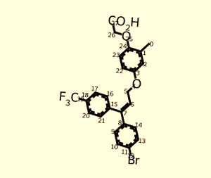 Cc1cc(OC/C=C(/c2ccc(Br)cc2)c2ccc(C(F)(F)F)cc2)ccc1OCC(=O)O